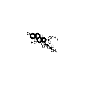 COC(=O)[C@@H]1C[C@H]2[C@@H]3CCC4=CC(=O)C=C[C@]4(C)[C@H]3[C@@H](O)C[C@]2(C)[C@H]1C(=O)COC(C)=O